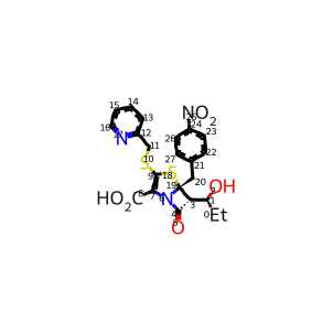 CC[C@H](O)[C@@H]1C(=O)N2C(C(=O)O)=C(SCc3ccccn3)S[C@]12Cc1ccc([N+](=O)[O-])cc1